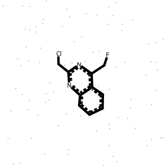 FCc1nc(CCl)nc2ccccc12